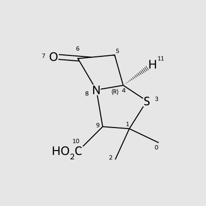 CC1(C)S[C@@H]2CC(=O)N2C1C(=O)O